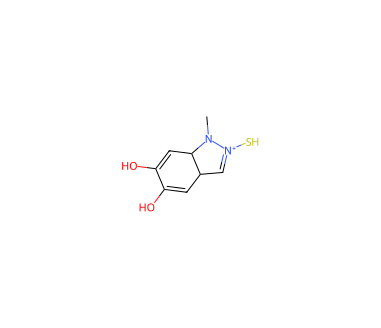 CN1C2C=C(O)C(O)=CC2C=[N+]1S